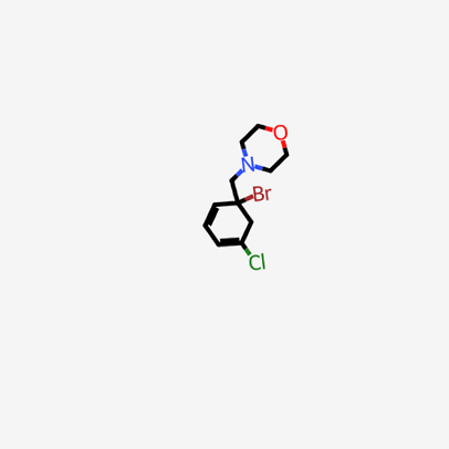 ClC1=CC=CC(Br)(CN2CCOCC2)C1